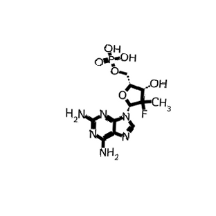 CC1(F)[C@@H](O)[C@@H](COP(=O)(O)O)O[C@H]1n1cnc2c(N)nc(N)nc21